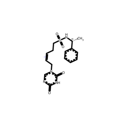 C[C@@H](NS(=O)(=O)CC/C=C\Cn1cnc(=O)[nH]c1=O)c1ccccc1